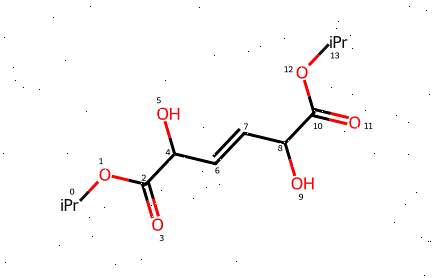 CC(C)OC(=O)C(O)C=CC(O)C(=O)OC(C)C